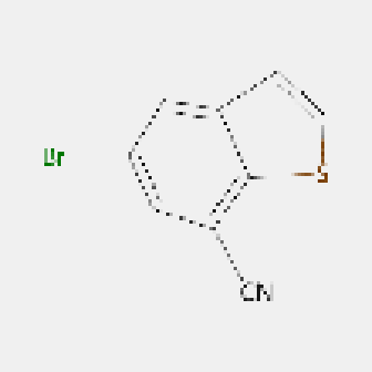 N#Cc1cc(Br)cc2ccsc12